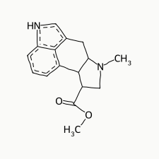 COC(=O)C1CN(C)C2Cc3c[nH]c4cccc(c34)C12